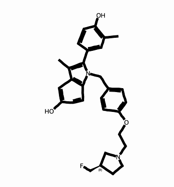 Cc1cc(-c2c(C)c3cc(O)ccc3n2Cc2ccc(OCCN3CC[C@@H](CF)C3)cc2)ccc1O